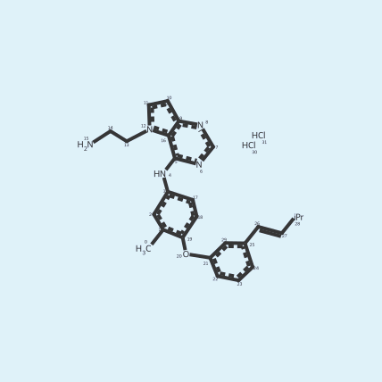 Cc1cc(Nc2ncnc3ccn(CCN)c23)ccc1Oc1cccc(C=CC(C)C)c1.Cl.Cl